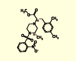 COC(=O)[C@H](Cc1ccc(C)cc1C)N1CCN(S(=O)(=O)c2ccccc2[N+](=O)[O-])[C@@H](C)C1